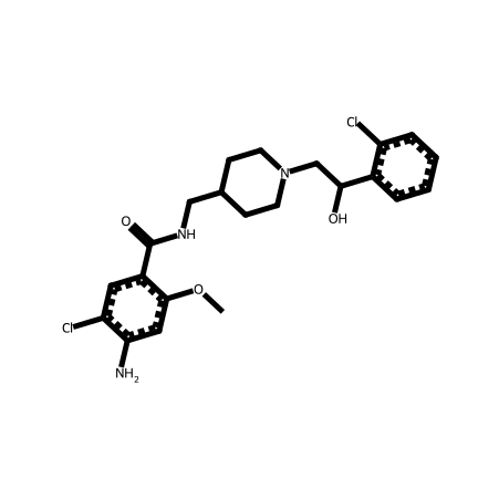 COc1cc(N)c(Cl)cc1C(=O)NCC1CCN(CC(O)c2ccccc2Cl)CC1